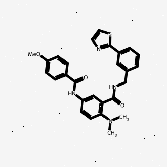 COc1ccc(C(=O)Nc2ccc(N(C)C)c(C(=O)NCc3cccc(-c4nccs4)c3)c2)cc1